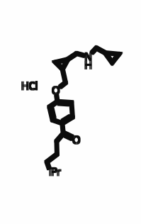 CC(C)CCCC(=O)c1ccc(OCC2CC2CNCC2CC2)cc1.Cl